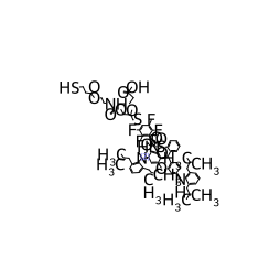 CC(C)Cc1cccc(CC(C)C)c1/N=c1/ccc2c(-c3ccccc3S(=O)(=O)NS(=O)(=O)c3c(F)c(F)c(SCC(COC(=O)NCCOC(=O)CCS)OCCC(=O)O)c(F)c3F)c3ccc(Nc4c(CC(C)C)cccc4CC(C)C)cc3oc-2c1